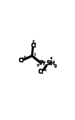 CC(C)C(Cl)Cl.[SiH3]Cl